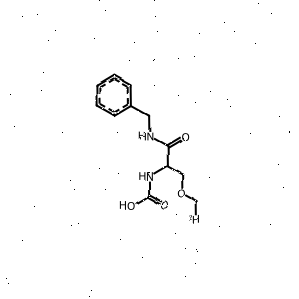 [2H]COCC(NC(=O)O)C(=O)NCc1ccccc1